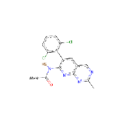 CNC(=O)N(S)c1nc2nc(C)ncc2cc1-c1c(Cl)cccc1Cl